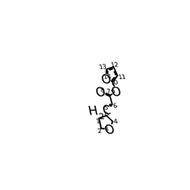 C1CCOC1.C=CC(=O)Oc1ccco1